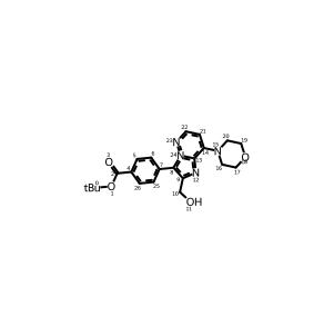 CC(C)(C)OC(=O)c1ccc(-c2c(CO)nc3c(N4CCOCC4)ccnn23)cc1